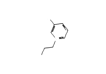 Cc1ccc[n+](CCC(C)C)c1